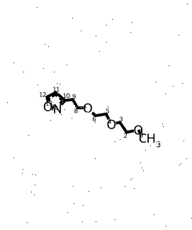 COCCOCCOCCc1ccon1